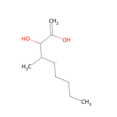 C=C(O)C(O)C(C)[CH]CCCC